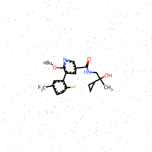 CCCCOc1ncc(C(=O)NCC(C)(O)C2CC2)cc1-c1cc(C(F)(F)F)ccc1F